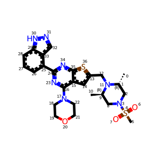 C[C@@H]1CN(S(C)(=O)=O)C[C@@H](C)N1Cc1cc2c(N3CCOCC3)nc(-c3cccc4[nH]ncc34)nc2s1